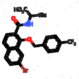 CC(C)(C)C(NC(=O)c1ccc2ccc(Br)cc2c1OCc1ccc(C(F)(F)F)cc1)C(=O)O